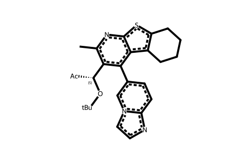 CC(=O)[C@@H](OC(C)(C)C)c1c(C)nc2sc3c(c2c1-c1ccc2nccn2c1)CCCC3